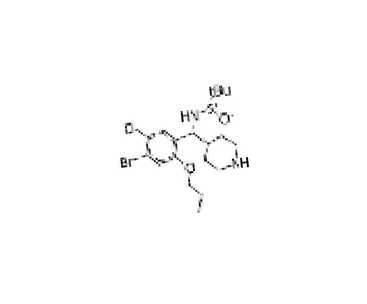 C=CCOc1cc(Br)c(Cl)cc1[C@H](N[S@@+]([O-])C(C)(C)C)C1CCNCC1